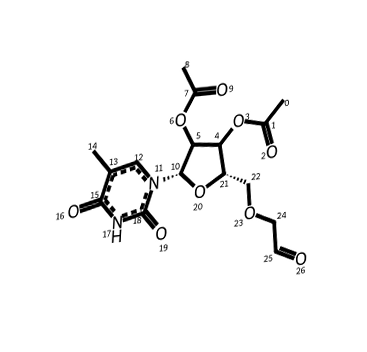 CC(=O)OC1C(OC(C)=O)[C@@H](n2cc(C)c(=O)[nH]c2=O)O[C@H]1COCC=O